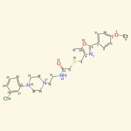 CCOc1ccc(-c2nc(CSCC(=O)NCCN3CCN(c4cccc(Cl)c4)CC3)c(C)o2)cc1